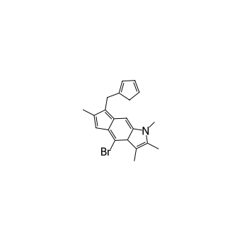 CC1=CC2=C(Br)C3C(=CC2=C1CC1=CC=CC1)N(C)C(C)=C3C